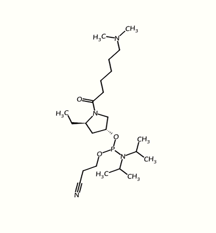 CC[C@@H]1C[C@@H](OP(OCCC#N)N(C(C)C)C(C)C)CN1C(=O)CCCCCN(C)C